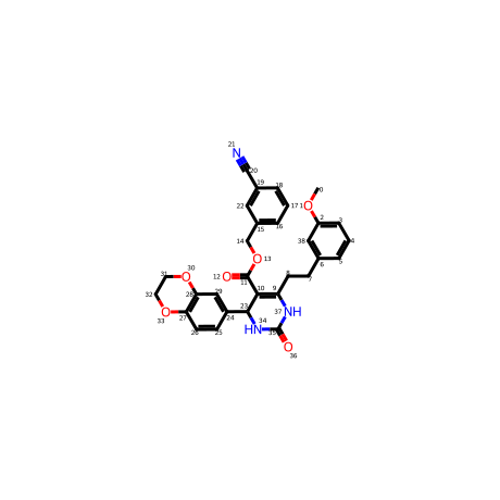 COc1cccc(CCC2=C(C(=O)OCc3cccc(C#N)c3)C(c3ccc4c(c3)OCCO4)NC(=O)N2)c1